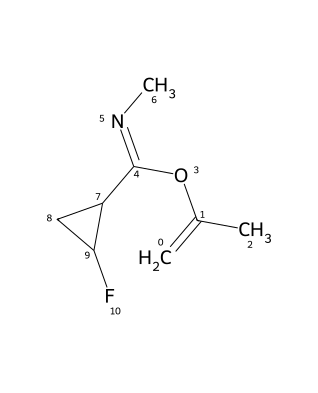 C=C(C)O/C(=N\C)C1CC1F